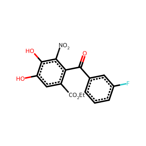 CCOC(=O)c1cc(O)c(O)c([N+](=O)[O-])c1C(=O)c1cccc(F)c1